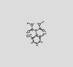 COC(=O)C(C(=O)OC)c1c(F)cccc1Cl